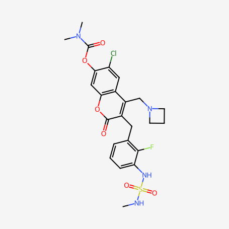 CNS(=O)(=O)Nc1cccc(Cc2c(CN3CCC3)c3cc(Cl)c(OC(=O)N(C)C)cc3oc2=O)c1F